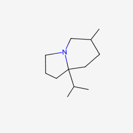 CC1CCC2(C(C)C)CCCN2C1